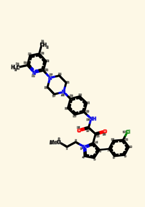 COCCn1ccc(-c2cccc(Cl)c2)c1C(=O)C(=O)Nc1ccc(N2CCN(c3cc(C)cc(C)n3)CC2)cc1